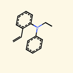 C=Cc1ccccc1N(CC)c1ccccc1